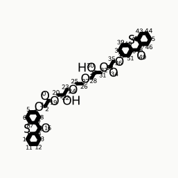 O=C(COc1ccc2sc3ccccc3c(=O)c2c1)OCC(O)COCCOCC(O)COC(=O)COc1ccc2sc3ccccc3c(=O)c2c1